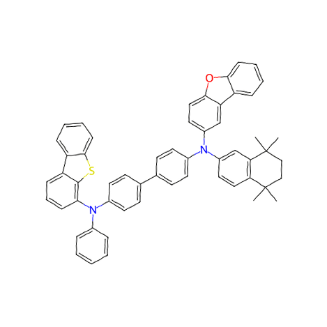 CC1(C)CCC(C)(C)c2cc(N(c3ccc(-c4ccc(N(c5ccccc5)c5cccc6c5sc5ccccc56)cc4)cc3)c3ccc4oc5ccccc5c4c3)ccc21